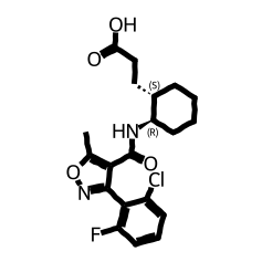 Cc1onc(-c2c(F)cccc2Cl)c1C(=O)N[C@@H]1CCCC[C@H]1CCC(=O)O